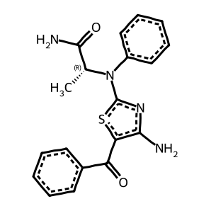 C[C@H](C(N)=O)N(c1ccccc1)c1nc(N)c(C(=O)c2ccccc2)s1